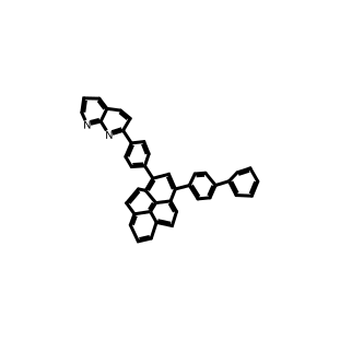 c1ccc(-c2ccc(-c3cc(-c4ccc(-c5ccc6cccnc6n5)cc4)c4ccc5cccc6ccc3c4c65)cc2)cc1